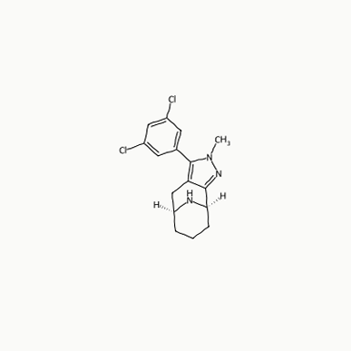 Cn1nc2c(c1-c1cc(Cl)cc(Cl)c1)C[C@@H]1CCC[C@H]2N1